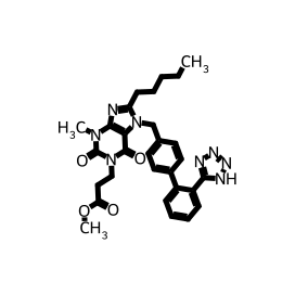 CCCCCc1nc2c(c(=O)n(CCC(=O)OC)c(=O)n2C)n1Cc1ccc(-c2ccccc2-c2nnn[nH]2)cc1